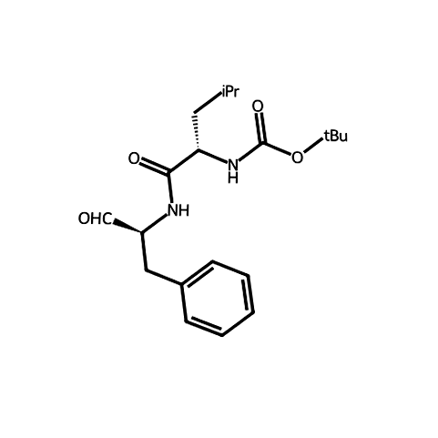 CC(C)C[C@H](NC(=O)OC(C)(C)C)C(=O)N[C@H](C=O)Cc1ccccc1